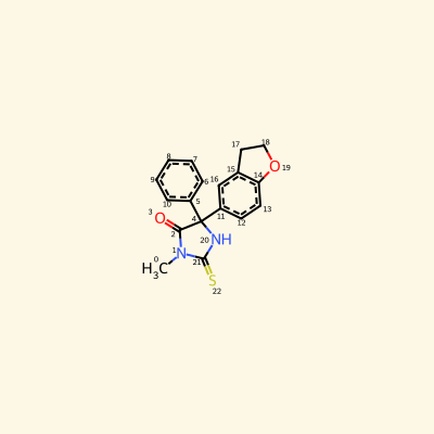 CN1C(=O)C(c2ccccc2)(c2ccc3c(c2)CCO3)NC1=S